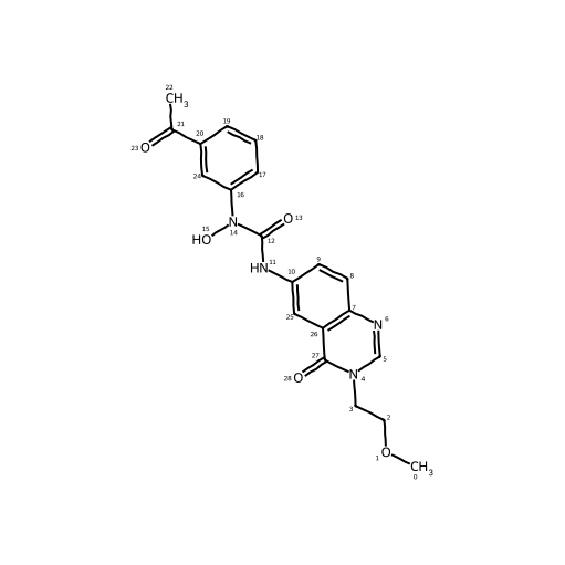 COCCn1cnc2ccc(NC(=O)N(O)c3cccc(C(C)=O)c3)cc2c1=O